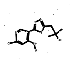 CC(C)Nc1cc(Cl)ncc1-c1nnc(CC(C)(C)O)s1